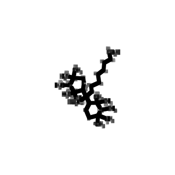 CN1C(C)(C)CCC(C(CCCCCCCC(=O)O)(C(=O)O)C2CCC(C)(C)N(C)C2(C)C)C1(C)C